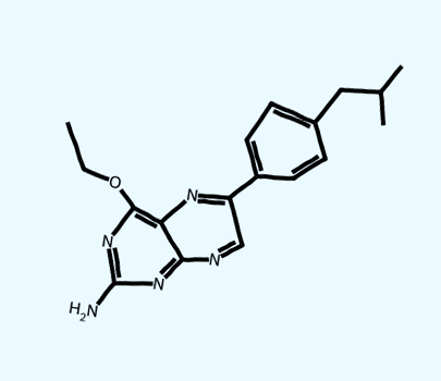 CCOc1nc(N)nc2ncc(-c3ccc(CC(C)C)cc3)nc12